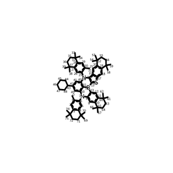 Cc1cc2c(cc1N1c3cc4c(cc3B3c5sc6cc7c(cc6c5N(c5cc6c(cc5C)C(C)(C)CCC6(C)C)c5cc(C6CCCCC6)cc1c53)C(C)(C)CCC7(C)C)C(C)(C)CCC4(C)C)C(C)(C)CCC2(C)C